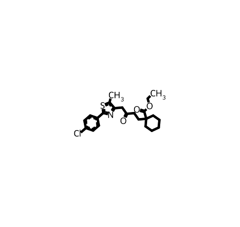 CCOC(=O)C1(CCC(=O)Cc2nc(-c3ccc(Cl)cc3)sc2C)CCCCC1